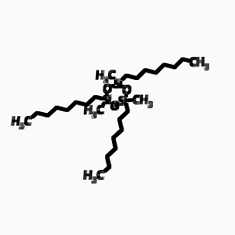 CCCCCCCC[Si]1(C)O[Si](C)(CCCCCCCC)O[Si](C)(CCCCCCCC)O1